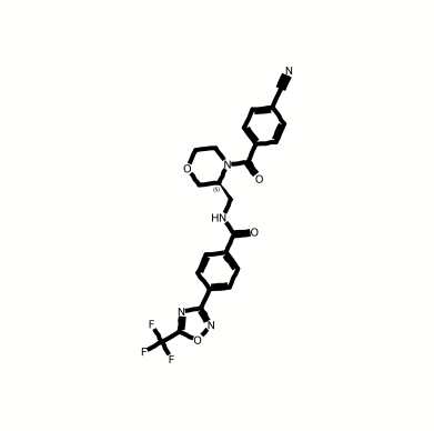 N#Cc1ccc(C(=O)N2CCOC[C@@H]2CNC(=O)c2ccc(-c3noc(C(F)(F)F)n3)cc2)cc1